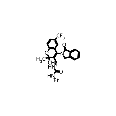 CCNC(=O)NCC1=C(N2Cc3ccccc3C2=O)c2cc(C(F)(F)F)ccc2OC1(C)C